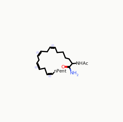 CCCCC/C=C\C/C=C\C/C=C\C/C=C\CCCCC(NC(C)=O)C(N)=O